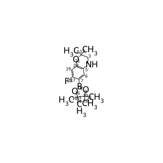 CC1(C)CNc2cc(B3OC(C)(C)C(C)(C)O3)c(F)cc2O1